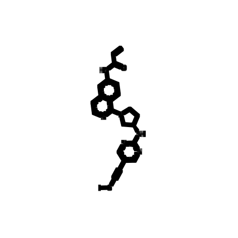 C=CC(=O)Nc1ccc2c(N3CC[C@@H](Nc4ncc(C#CSI)cn4)C3)nccc2c1